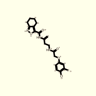 C=C(CCNC(=O)COc1ccc(Cl)c(F)c1)NC(=O)c1onc2c1CCCC2